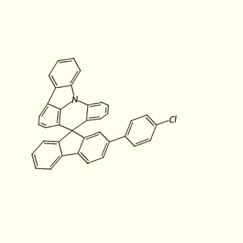 Clc1ccc(-c2ccc3c(c2)C2(c4ccccc4-3)c3ccccc3-n3c4ccccc4c4cccc2c43)cc1